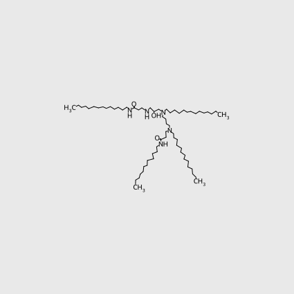 CCCCCCCCCCCCCCNC(=O)CCNCC(O)CN(CCCCCCCCCCCCCC)CCCCN(CCCCCCCCCCCCCC)CCC(=O)NCCCCCCCCCCCC